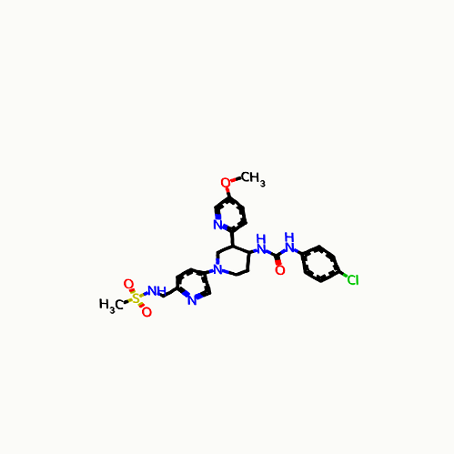 COc1ccc(C2CN(c3ccc(CNS(C)(=O)=O)nc3)CCC2NC(=O)Nc2ccc(Cl)cc2)nc1